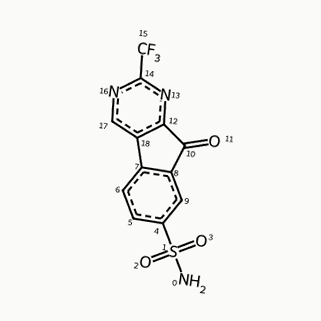 NS(=O)(=O)c1ccc2c(c1)C(=O)c1nc(C(F)(F)F)ncc1-2